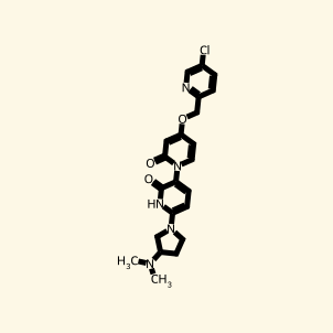 CN(C)C1CCN(c2ccc(-n3ccc(OCc4ccc(Cl)cn4)cc3=O)c(=O)[nH]2)C1